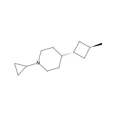 C[C@H]1C[C@H](C2CCN(C3CC3)CC2)C1